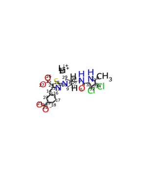 Cc1[nH]c(C(=O)N[C@@H]2[C@@H]3CN(c4nc(Cc5cccc(C(=O)[O-])c5)c(C(=O)[O-])s4)C[C@@H]32)c(Cl)c1Cl.[Li+].[Li+]